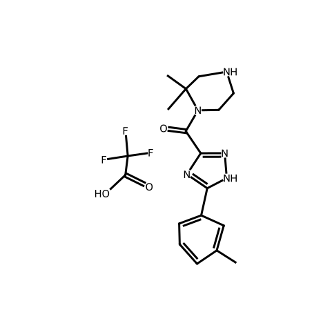 Cc1cccc(-c2nc(C(=O)N3CCNCC3(C)C)n[nH]2)c1.O=C(O)C(F)(F)F